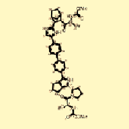 COC(=O)N[C@H](C(=O)N1CCC[C@H]1c1[nH]c(-c2ccc(-c3ccc(-c4cnc(C5C6CCC(C6)C5C(=O)N(NC(=O)OC)C(C)C)[nH]4)cc3)cc2)c2c1CCC2)C(C)C